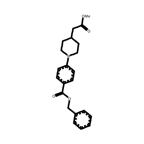 COC(=O)CC1CCN(c2ccc(C(=O)OCc3ccccc3)cc2)CC1